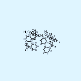 C[SiH](C)Oc1c(-c2ccccc2N)cccc1C(C)(C)C.C[SiH](C)Oc1c(-c2ccccc2[N+](=O)[O-])cccc1C(C)(C)C